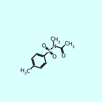 CC(=O)N(C)S(=O)(=O)c1ccc(C)cc1